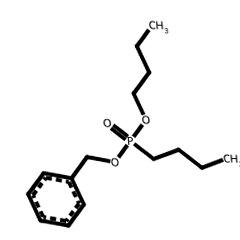 CCCCOP(=O)(CCCC)OCc1ccccc1